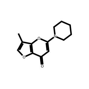 Cc1coc2c(=O)cc(N3CCCCC3)oc12